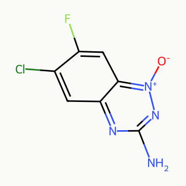 Nc1nc2cc(Cl)c(F)cc2[n+]([O-])n1